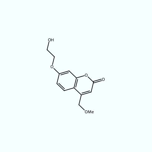 COCc1cc(=O)oc2cc(OCCO)ccc12